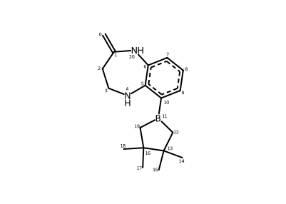 C=C1CCNc2c(cccc2B2CC(C)(C)C(C)(C)C2)N1